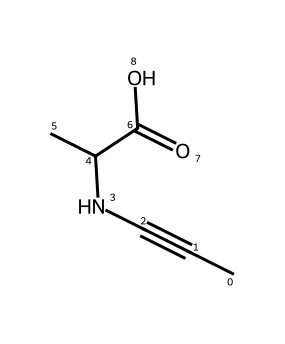 CC#CNC(C)C(=O)O